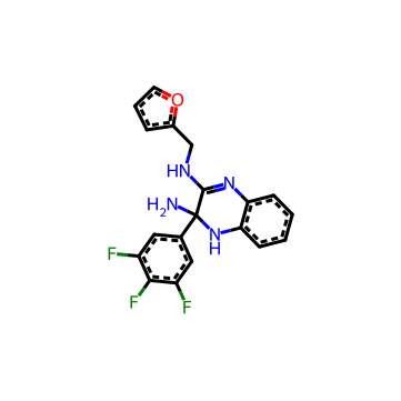 NC1(c2cc(F)c(F)c(F)c2)Nc2ccccc2N=C1NCc1ccco1